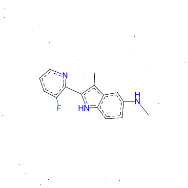 CNc1ccc2[nH]c(-c3ncccc3F)c(C)c2c1